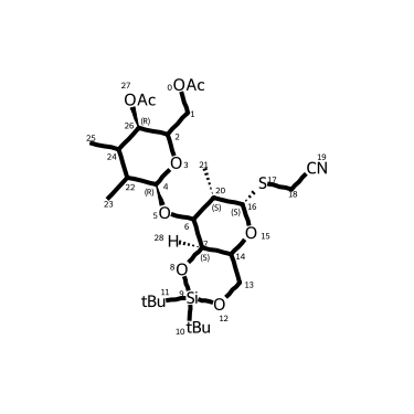 CC(=O)OCC1O[C@@H](OC2[C@@H]3O[Si](C(C)(C)C)(C(C)(C)C)OCC3O[C@@H](SCC#N)[C@H]2C)C(C)C(C)[C@H]1OC(C)=O